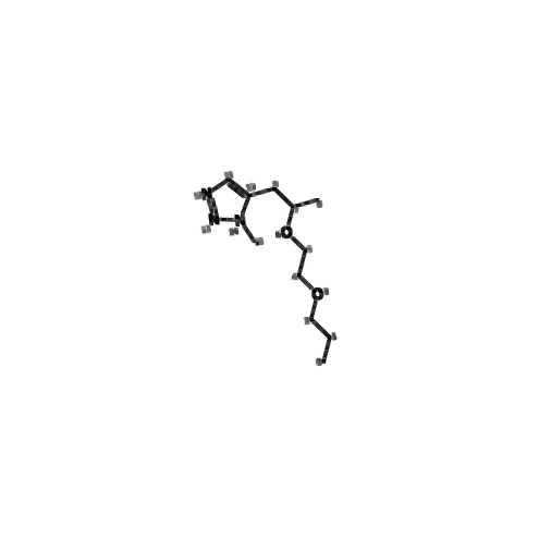 CCCOCCOC(C)Cc1cnnn1C